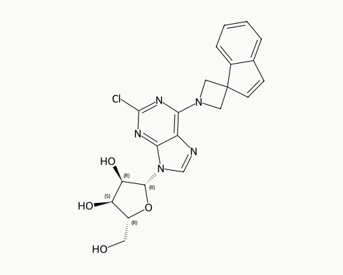 OC[C@H]1O[C@@H](n2cnc3c(N4CC5(C=Cc6ccccc65)C4)nc(Cl)nc32)[C@H](O)[C@@H]1O